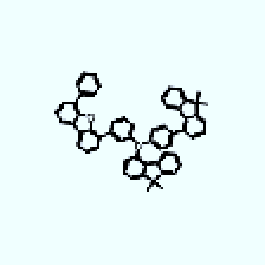 CC1(C)c2ccccc2-c2c(-c3ccc(N(c4cccc(-c5cccc6c5oc5c(-c7ccccc7)cccc56)c4)c4cccc5c4-c4ccccc4C5(C)C)cc3)cccc21